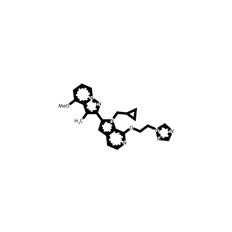 COc1c[c]cn2nc(-c3cc4ccnc(OCCn5cncn5)c4n3CC3CC3)c(C)c12